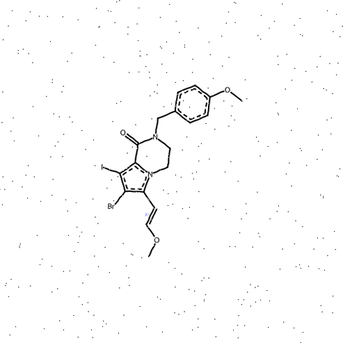 CO/C=C/c1c(Br)c(I)c2n1CCN(Cc1ccc(OC)cc1)C2=O